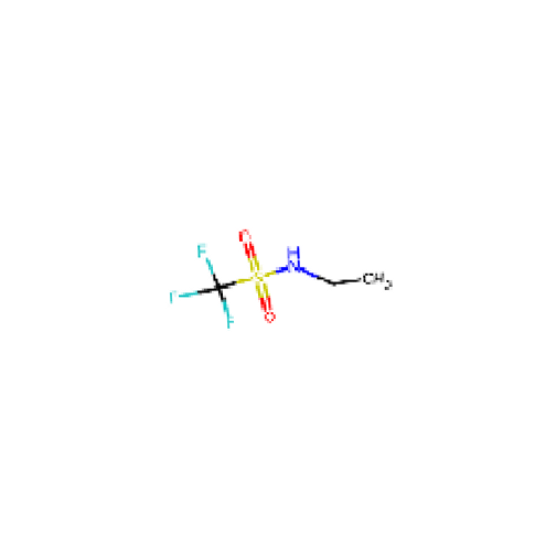 CCNS(=O)(=O)C(F)(F)F